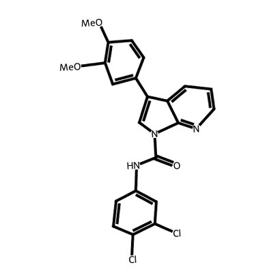 COc1ccc(-c2cn(C(=O)Nc3ccc(Cl)c(Cl)c3)c3ncccc23)cc1OC